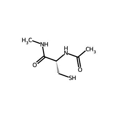 CNC(=O)[C@@H](CS)NC(C)=O